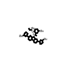 C=CCOc1c(C(C)(C)C)cc(C(C)(C)C)cc1[Si](C)(C)C1c2cc(-c3cccc(C(C)CC)c3)ccc2-c2ccc(-c3cccc(C(C)CC)c3)cc21